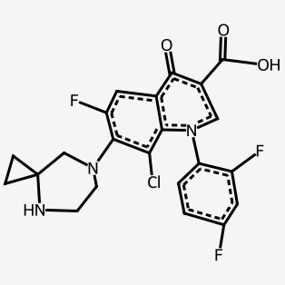 O=C(O)c1cn(-c2ccc(F)cc2F)c2c(Cl)c(N3CCNC4(CC4)C3)c(F)cc2c1=O